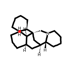 C1CC[C@@H]([C@@]23C[C@H](C[C@H]4CCCN[C@H]42)[C@H]2CCCCN2C3)NC1